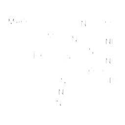 COCCOC1C(O)[C@@H](CN=[N+]=[N-])O[C@H]1n1cnc2c(=O)[nH]c(NC(=O)C(C)C)nc21